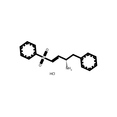 Cl.N[C@H](C=CS(=O)(=O)c1ccccc1)Cc1ccccc1